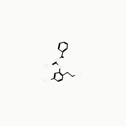 C=C(NC(=O)c1ccccc1)Nc1cc(C)ccc1CCC